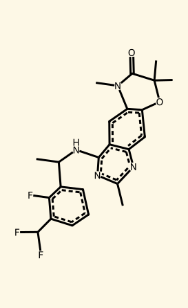 Cc1nc(NC(C)c2cccc(C(F)F)c2F)c2cc3c(cc2n1)OC(C)(C)C(=O)N3C